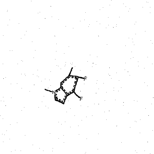 Cc1cc2c(ccn2C)c(F)c1F